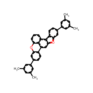 Cc1cc(C)cc(-c2ccc3c(c2)Oc2cccc4c2c-3cc2oc3cc(-c5cc(C)cc(C)c5)ccc3c24)c1